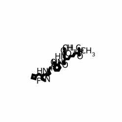 COC(=O)NC(CCC=CC(=O)N(C)C)C(=O)Nc1cccn(Cc2cc3ncc(F)c(CC4CCC4)c3[nH]2)c1=O